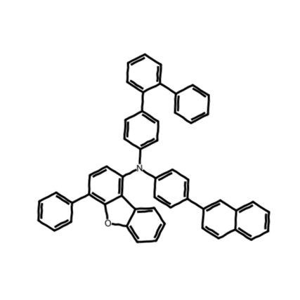 c1ccc(-c2ccccc2-c2ccc(N(c3ccc(-c4ccc5ccccc5c4)cc3)c3ccc(-c4ccccc4)c4oc5ccccc5c34)cc2)cc1